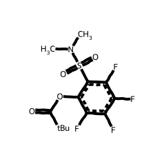 CN(C)S(=O)(=O)c1c(F)c(F)c(F)c(F)c1OC(=O)C(C)(C)C